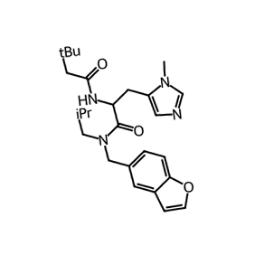 CC(C)CN(Cc1ccc2occc2c1)C(=O)C(Cc1cncn1C)NC(=O)CC(C)(C)C